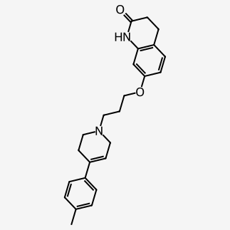 Cc1ccc(C2=CCN(CCCOc3ccc4c(c3)NC(=O)CC4)CC2)cc1